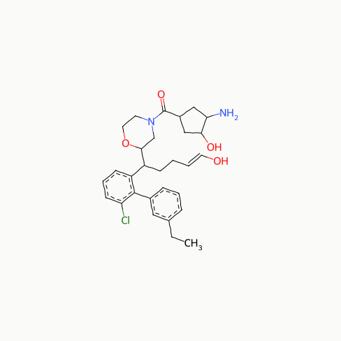 CCc1cccc(-c2c(Cl)cccc2C(CCC=CO)C2CN(C(=O)C3CC(N)C(O)C3)CCO2)c1